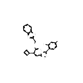 Fc1ccc(-c2nnc3cc(C4=CC=C4)c(OCc4nc5ccccc5[nH]4)nn23)c(F)c1